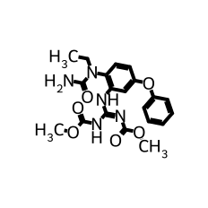 CCN(C(N)=O)c1ccc(Oc2ccccc2)cc1NC(=NC(=O)OC)NC(=O)OC